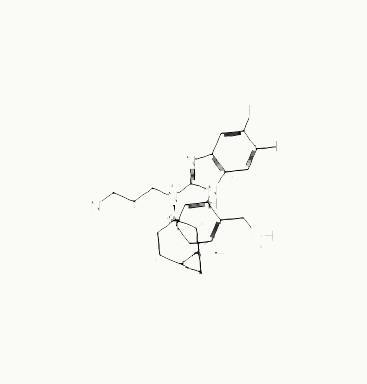 NCCCN(c1nc2cc(F)c(F)cc2[nH]1)[C@@H]1CC[C@]2(C3C=C(CO)C=CC3)C[C@@H]2C1